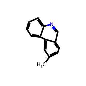 Cc1ccc2cnc3ccccc3c2c1